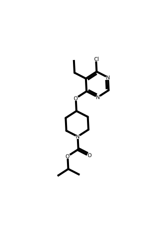 CCc1c(Cl)ncnc1OC1CCN(C(=O)OC(C)C)CC1